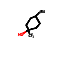 CC(C)(C)C1CCC(O)(C(F)(F)F)CC1